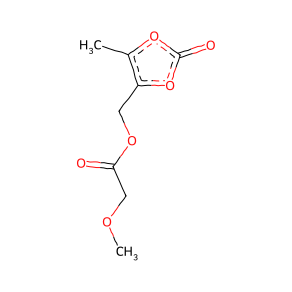 COCC(=O)OCc1oc(=O)oc1C